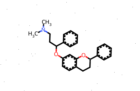 CN(C)CCC(Oc1ccc2c(c1)OC(c1ccccc1)CC2)c1ccccc1